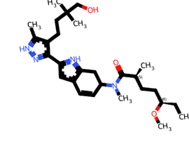 CC[C@H](CC[C@H](C)C(=O)N(C)C1C=Cc2cc(-c3n[nH]c(C)c3CCC(C)(C)CO)[nH]c2C1)OC